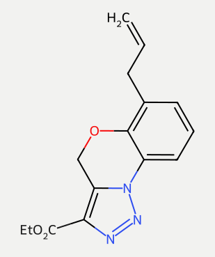 C=CCc1cccc2c1OCc1c(C(=O)OCC)nnn1-2